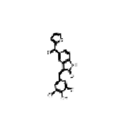 O=C1Nc2ccc(C(=O)c3ccco3)cc2C1=Cc1cc(Cl)c(O)c(Cl)c1